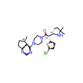 C[C@@H]1CCc2ncnc(N3CCN(C(=O)[C@@H](c4ccc(Br)s4)[C@@H]4CCC(C)(C)N4)CC3)c21